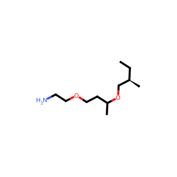 CC[C@@H](C)COC(C)CCOCCN